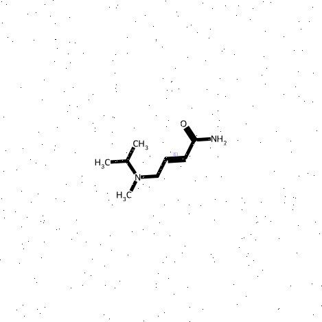 CC(C)N(C)C/C=C/C(N)=O